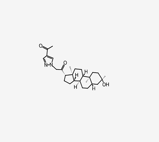 CC(=O)c1cnn(CC(=O)[C@H]2CC[C@H]3[C@@H]4CC[C@H]5C[C@](C)(O)CC[C@]5(C)[C@H]4CC[C@]23C)c1